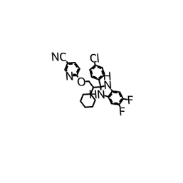 N#Cc1ccc(OCC(C2CCCCC2)C2(c3ccc(Cl)cc3)Nc3cc(F)c(F)cc3N2)nc1